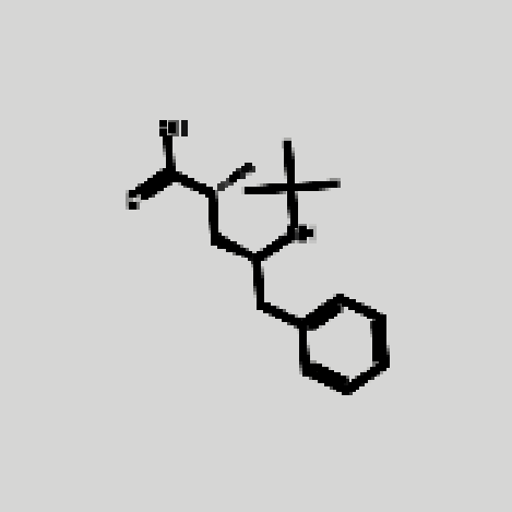 C[C@H](C[C@H](Cc1ccccc1)NC(C)(C)C)C(=O)O